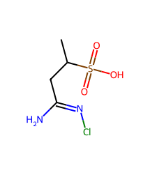 CC(CC(N)=NCl)S(=O)(=O)O